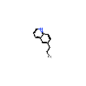 CC(=O)CCc1ccc2ncccc2c1